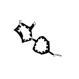 COc1ccc(-n2cc[nH]c2=O)cc1